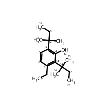 CCc1ccc(C(C)(C)CC)c(O)c1C(C)(C)CC